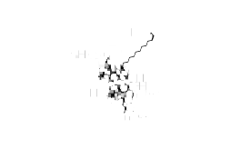 CCCCCC/C=C\CCCCCCCCCC(=O)N[C@H]1[C@H](OC(C)[C@H]2O[C@H](OP(C)(=O)O)[C@H](NC(=O)CC(=O)CCCCCCCCCCC)[C@@H](OCCCCCCCCCC)[C@@H]2O)O[C@H](CC)[C@@H](O[PH](=O)O)[C@@H]1OCC[C@H](C)CCCCCCC